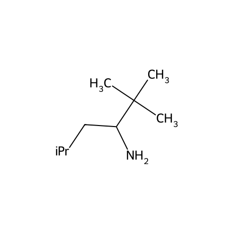 CC(C)CC(N)C(C)(C)C